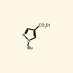 CCOC(=O)c1cnn(C(C)CC)c1